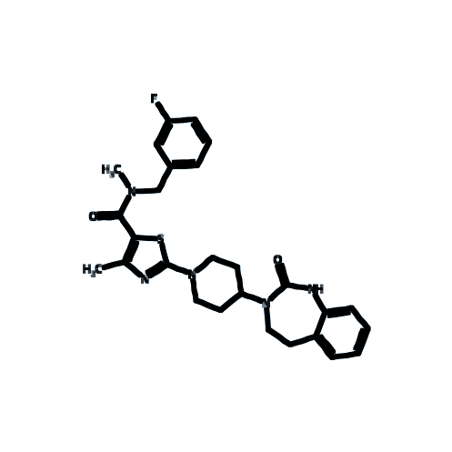 Cc1nc(N2CCC(N3CCc4ccccc4NC3=O)CC2)sc1C(=O)N(C)Cc1cccc(F)c1